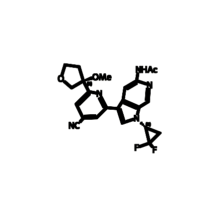 CO[C@]1(c2cc(C#N)cc(-c3cn([C@@H]4CC4(F)F)c4cnc(NC(C)=O)cc34)n2)CCOC1